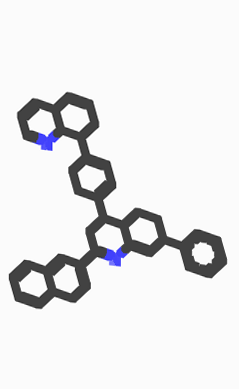 C1=CC2=CC(C3=NC4=CC(c5ccccc5)CCC4C(C4=CC=C(C5CC=CC6C=CC=NC65)CC4)C3)=CCC2C=C1